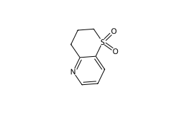 O=S1(=O)CCCc2ncccc21